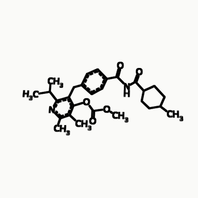 COC(=O)Oc1c(C)c(C)nc(C(C)C)c1Cc1ccc(C(=O)NC(=O)C2CCC(C)CC2)cc1